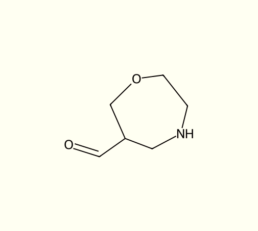 O=CC1CNCCOC1